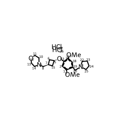 COc1cc(O[C@H]2C[C@H](CN3CCOCC3)C2)c(OC)cc1CN1CCCC1.Cl.Cl